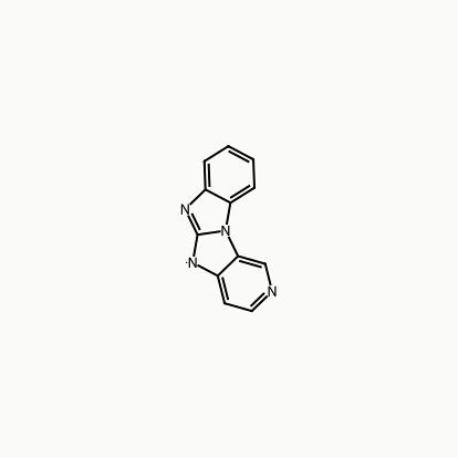 c1ccc2c(c1)nc1n2-c2cnccc2[N]1